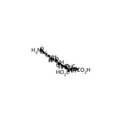 NC(=O)OCCSSCCNC(=O)CNC(=O)CNC(=O)CCCNC(=O)CCC(NC(=O)N[C@@H](CCC(=O)O)C(=O)O)C(=O)O